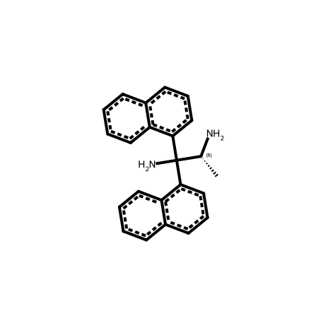 C[C@@H](N)C(N)(c1cccc2ccccc12)c1cccc2ccccc12